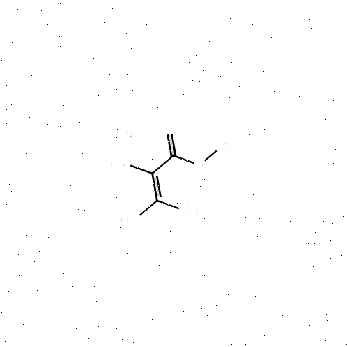 CCCCOC(=O)C(CCCC)=C(CCCC)CCCC.N